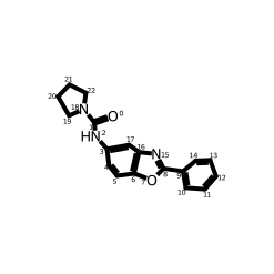 O=C(Nc1ccc2oc(-c3ccccc3)nc2c1)N1CCCC1